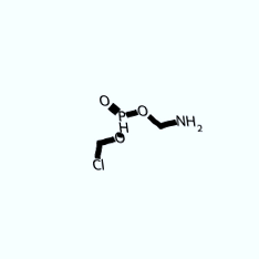 NCO[PH](=O)OCCl